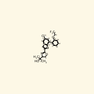 CC(C)(O)C1COC(c2cn3cc(Cl)cc(-c4ccccc4OCC(F)(F)F)c3n2)=N1